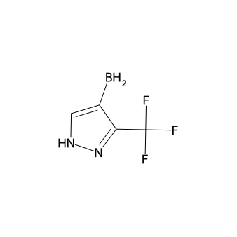 Bc1c[nH]nc1C(F)(F)F